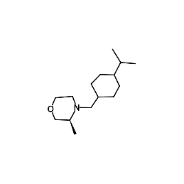 CC(C)C1CCC(CN2CCOC[C@@H]2C)CC1